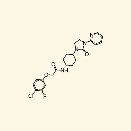 O=C(COc1ccc(Cl)c(F)c1)N[C@H]1CC[C@H](N2CCN(c3ccccn3)C2=O)CC1